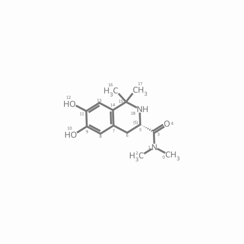 CN(C)C(=O)[C@@H]1Cc2cc(O)c(O)cc2C(C)(C)N1